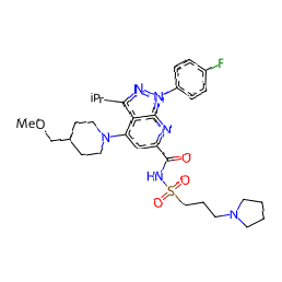 COCC1CCN(c2cc(C(=O)NS(=O)(=O)CCCN3CCCC3)nc3c2c(C(C)C)nn3-c2ccc(F)cc2)CC1